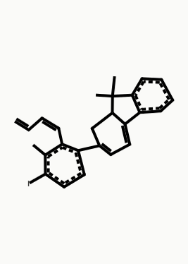 C=C/C=C\c1c(C2=CC=C3c4ccccc4C(C)(C)C3C2)ccc(I)c1C